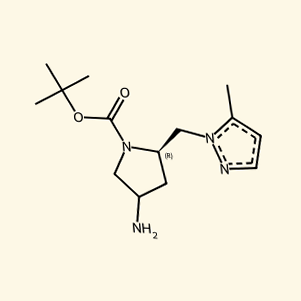 Cc1ccnn1C[C@H]1CC(N)CN1C(=O)OC(C)(C)C